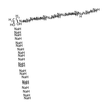 CO.CO.[NaH].[NaH].[NaH].[NaH].[NaH].[NaH].[NaH].[NaH].[NaH].[NaH].[NaH].[NaH].[NaH].[NaH].[NaH].[NaH].[NaH].[NaH].[NaH].[NaH].[NaH].[NaH].[NaH].[NaH].[NaH].[NaH].[NaH].[NaH].[NaH].[NaH].[NaH].[NaH].[NaH].[NaH].[NaH].[NaH].[NaH].[NaH].[NaH].[NaH].[NaH].[NaH].[NaH]